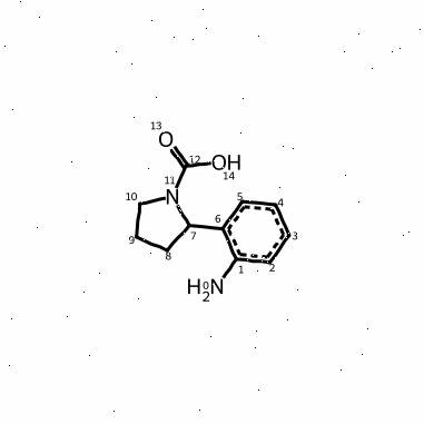 Nc1ccccc1C1CCCN1C(=O)O